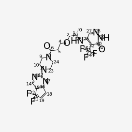 C[C@@H](COCCC(=O)N1CCN(c2ncc3c(n2)C=CC3(F)F)CC1)Nc1cn[nH]c(=O)c1C(F)(F)F